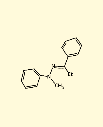 CC/C(=N\N(C)c1ccccc1)c1ccccc1